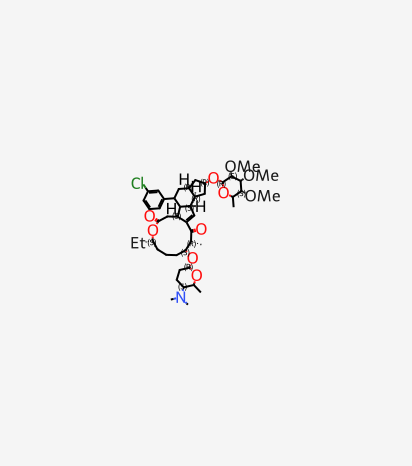 CC[C@H]1CCC[C@H](O[C@H]2CC[C@H](N(C)C)C(C)O2)[C@@H](C)C(=O)C2=C[C@@H]3C(C(c4cccc(Cl)c4)C[C@@H]4C[C@@H](O[C@@H]5OC(C)[C@H](OC)C(OC)[C@@H]5OC)C[C@H]43)[C@@H]2CC(=O)O1